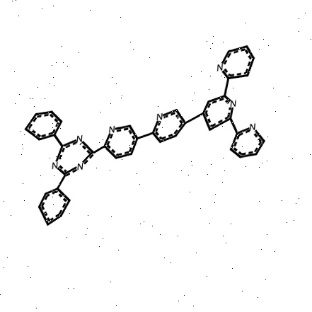 c1ccc(-c2nc(-c3ccccc3)nc(-c3ccc(-c4ccc(-c5cc(-c6ccccn6)nc(-c6ccccn6)c5)cn4)cn3)n2)cc1